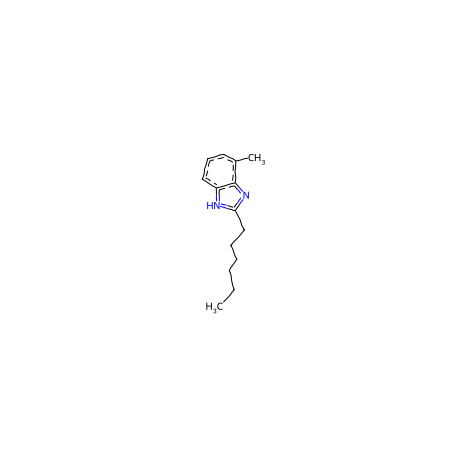 CCCCCCc1nc2c(C)cccc2[nH]1